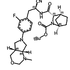 CN1COC[C@@H]2CN(c3ccc(C[C@@H](C#N)NC(=O)[C@@H]4[C@H]5CC[C@H](C5)N4C(=O)OC(C)(C)C)c(F)c3)C[C@@H]21